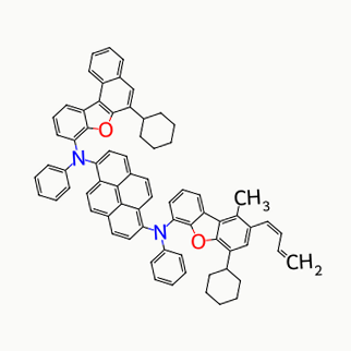 C=C/C=C\c1cc(C2CCCCC2)c2oc3c(N(c4ccccc4)c4ccc5ccc6c(N(c7ccccc7)c7cccc8c7oc7c(C9CCCCC9)cc9ccccc9c78)ccc7ccc4c5c76)cccc3c2c1C